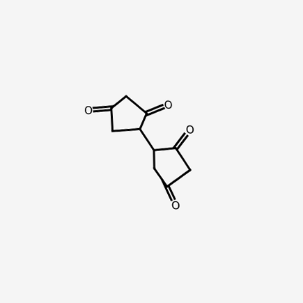 O=C1CC(=O)C(C2CC(=O)CC2=O)C1